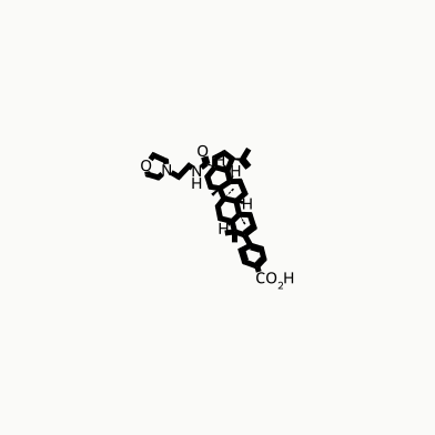 C=C(C)[C@@H]1CC[C@]2(C(=O)NCCN3CCOCC3)CC[C@]3(C)[C@H](CC[C@@H]4[C@@]5(C)CC=C(c6ccc(C(=O)O)cc6)C(C)(C)[C@@H]5CC[C@]43C)[C@@H]12